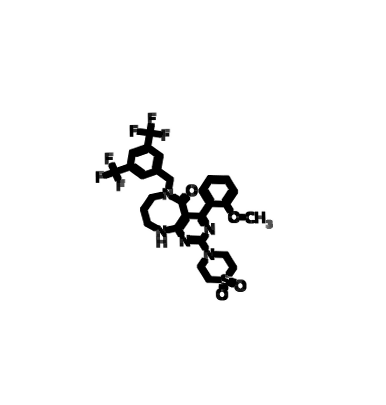 COc1ccccc1-c1nc(N2CCS(=O)(=O)CC2)nc2c1C(=O)N(Cc1cc(C(F)(F)F)cc(C(F)(F)F)c1)CCCN2